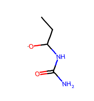 CCC([O])NC(N)=O